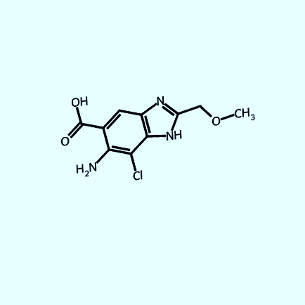 COCc1nc2cc(C(=O)O)c(N)c(Cl)c2[nH]1